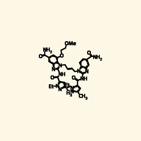 CCn1nc(C)cc1C(=O)Nc1nc2cc(C(N)=O)ccc2n1C/C=C/Cn1c(NC(=O)c2cc(C)nn2CC)nc2cc(C(N)=O)cc(OCCOC)c21